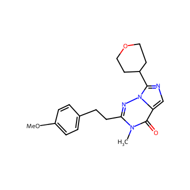 COc1ccc(CCc2nn3c(C4CCOCC4)ncc3c(=O)n2C)cc1